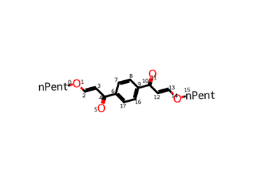 CCCCCOC=CC(=O)c1ccc(C(=O)C=COCCCCC)cc1